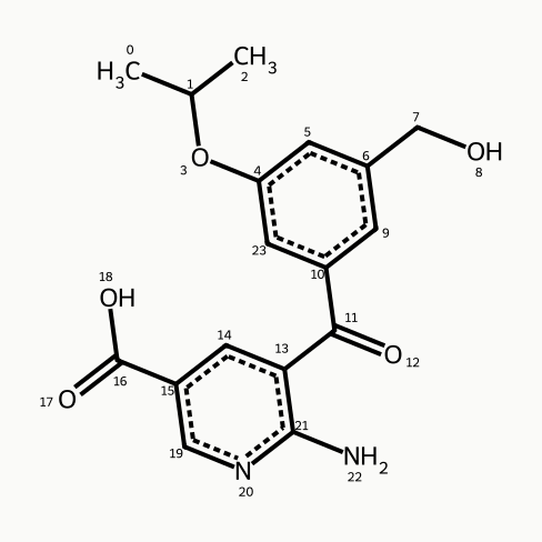 CC(C)Oc1cc(CO)cc(C(=O)c2cc(C(=O)O)cnc2N)c1